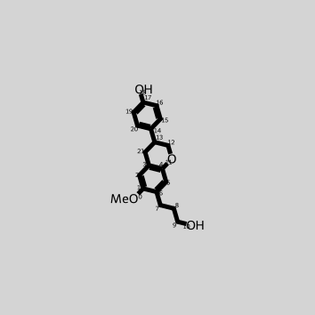 COc1cc2c(cc1CCCO)OCC(c1ccc(O)cc1)C2